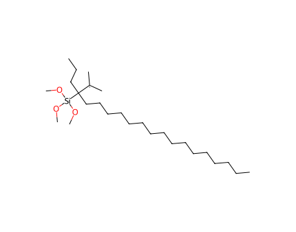 CCCCCCCCCCCCCCCCC(CCC)([C](C)C)[Si](OC)(OC)OC